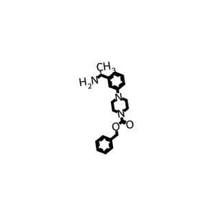 C[C@@H](N)c1cccc(N2CCN(C(=O)OCc3ccccc3)CC2)c1